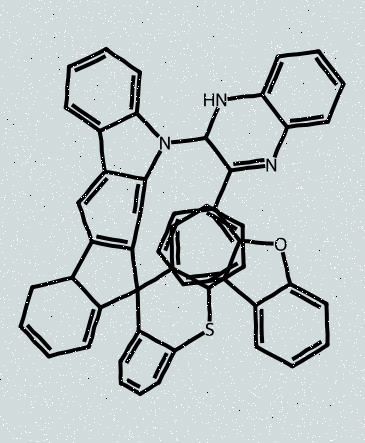 C1=CCC2C(=C1)C1(c3ccccc3Sc3ccccc31)c1cc3c(cc12)c1ccccc1n3C1Nc2ccccc2N=C1c1cccc2c1oc1ccccc12